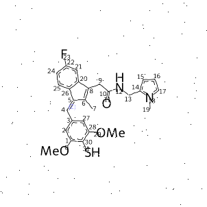 COc1cc(/C=C2\C(C)=C(CC(=O)NCc3cccn3C)c3cc(F)ccc32)cc(OC)c1S